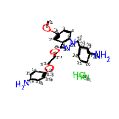 COc1ccc2c(c1)c(OCCOc1ccc(N)cc1)nn2Cc1cccc(N)c1.Cl.Cl